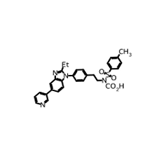 CCc1nc2cc(-c3cccnc3)ccc2n1-c1ccc(CCN(C(=O)O)S(=O)(=O)c2ccc(C)cc2)cc1